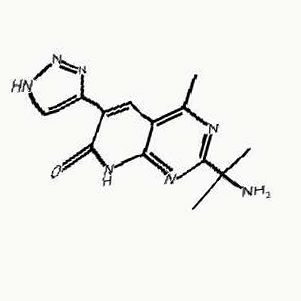 Cc1nc(C(C)(C)N)nc2[nH]c(=O)c(-c3c[nH]nn3)cc12